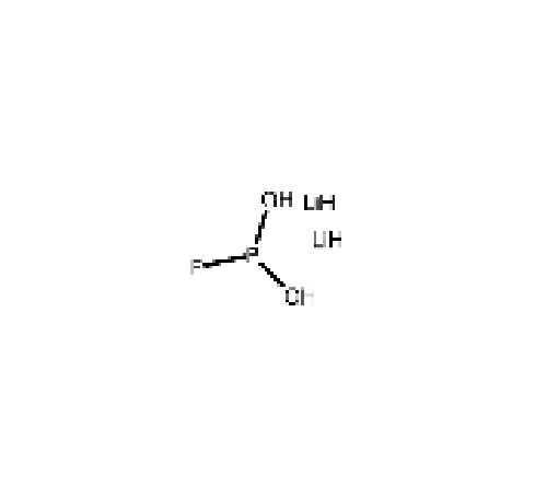 OP(O)F.[LiH].[LiH]